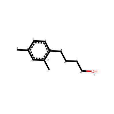 Cc1ccc(CCCCO)c(C)c1